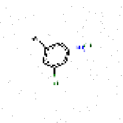 CCCc1cccc(Cl)c1.Cl.N